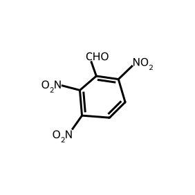 O=Cc1c([N+](=O)[O-])ccc([N+](=O)[O-])c1[N+](=O)[O-]